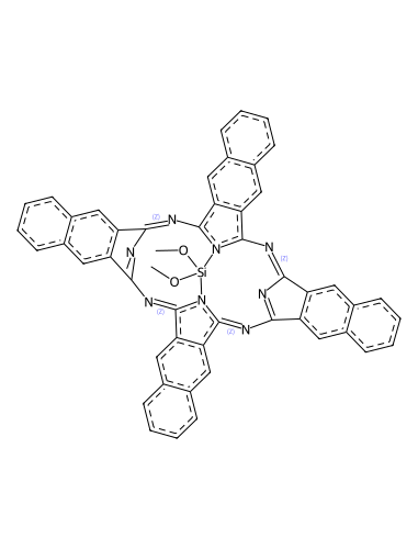 CO[Si]1(OC)n2c3c4cc5ccccc5cc4c2/N=C2N=C(/N=c4/c5cc6ccccc6cc5/c(n41)=N/C1=NC(=N\3)/c3cc4ccccc4cc31)c1cc3ccccc3cc1\2